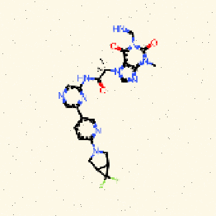 C[C@@H](C(=O)Nc1cncc(-c2ccc(N3CC4C(C3)C4(F)F)nc2)n1)n1cnc2c1c(=O)n(C=N)c(=O)n2C